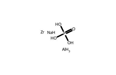 O=P(O)(O)O.[AlH3].[NaH].[Zr]